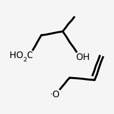 C=CC[O].CC(O)CC(=O)O